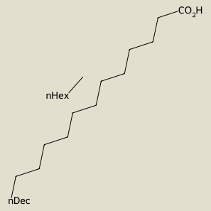 CCCCCCC.CCCCCCCCCCCCCCCCCCCCCC(=O)O